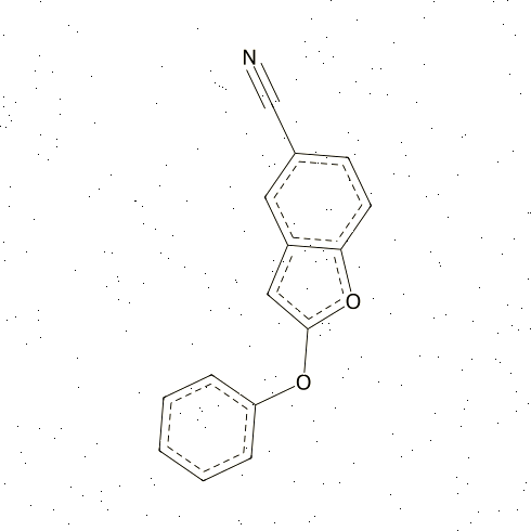 N#Cc1ccc2oc(Oc3ccccc3)cc2c1